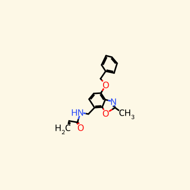 C=CC(=O)NCc1ccc(OCc2ccccc2)c2nc(C)oc12